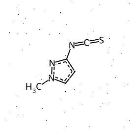 Cn1ccc(N=C=S)n1